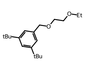 CCOCCOCc1cc(C(C)(C)C)cc(C(C)(C)C)c1